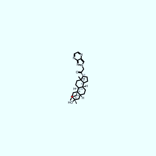 COC[C@]12CC[C@@](C)(O)C[C@H]1CC[C@H]1[C@@H]3CC[C@H](C(=O)Cn4cc5nccnc5n4)C3(C)CC[C@@H]12